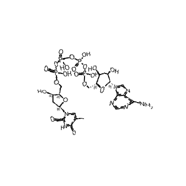 Cc1cn([C@H]2C[C@@H](O)[C@@H](COP(=O)(O)OP(=O)(O)OP(=O)(O)OP(=O)(O)OC[C@H]3O[C@@H](n4cnc5c(N)ncnc54)C(O)C3O)O2)c(=O)[nH]c1=O